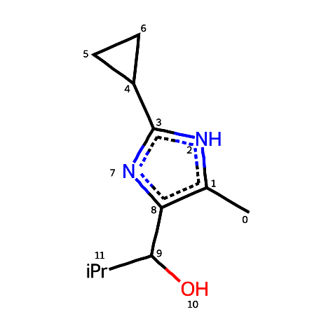 Cc1[nH]c(C2CC2)nc1C(O)C(C)C